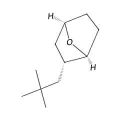 CC(C)(C)C[C@@H]1C[C@H]2CC[C@@H]1O2